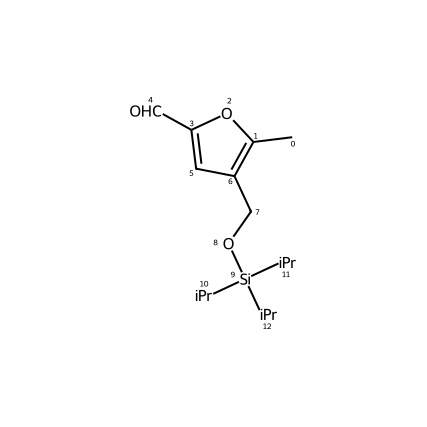 Cc1oc(C=O)cc1CO[Si](C(C)C)(C(C)C)C(C)C